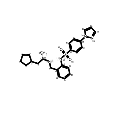 C[C@@H](CC1CCCC1)NCc1ccccc1NS(=O)(=O)c1ccc(-n2cccn2)cc1